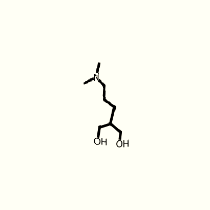 CN(C)CCCC(CO)CO